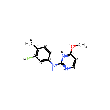 COc1ccnc(Nc2ccc(C)c(F)c2)n1